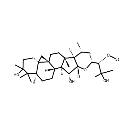 CCO[C@@H]([C@H]1C[C@@H](C)[C@H]2[C@H](O1)[C@H](O)[C@@]1(C)[C@@H]3CC[C@H]4C(C)(C)C(C)(O)CC[C@@]45C[C@@]35CC[C@]21C)C(C)(C)O